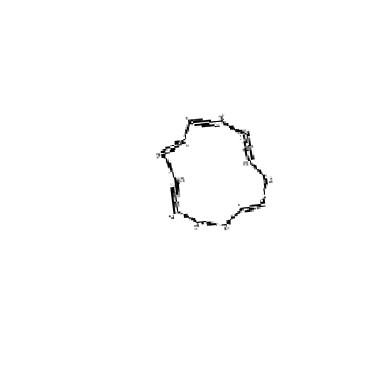 [CH]1/C=C/C/C=C/C=C\C=C\C=C\C1